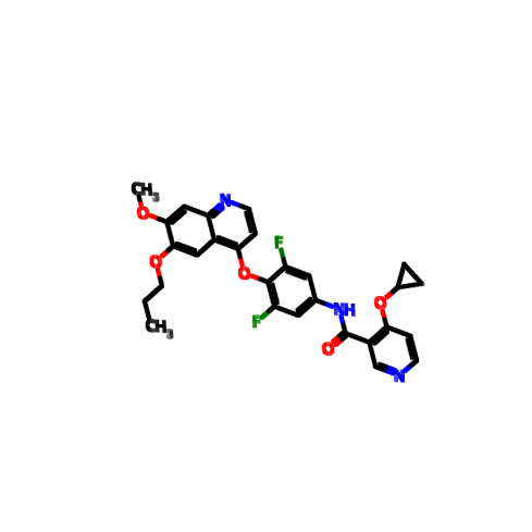 CCCOc1cc2c(Oc3c(F)cc(NC(=O)c4cnccc4OC4CC4)cc3F)ccnc2cc1OC